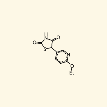 CCOc1ccc(C2SC(=O)NC2=O)cn1